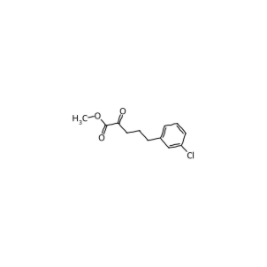 COC(=O)C(=O)CCCc1cccc(Cl)c1